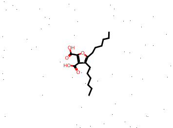 CCCCCCc1oc(C(=O)O)c(C(=O)O)c1CCCCCC